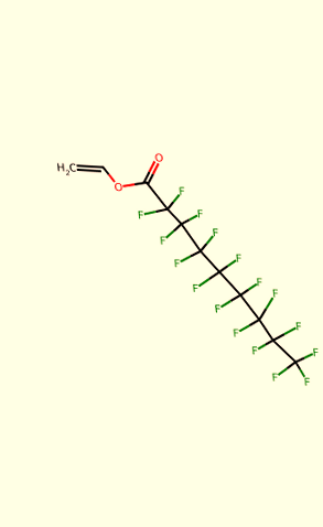 C=COC(=O)C(F)(F)C(F)(F)C(F)(F)C(F)(F)C(F)(F)C(F)(F)C(F)(F)C(F)(F)F